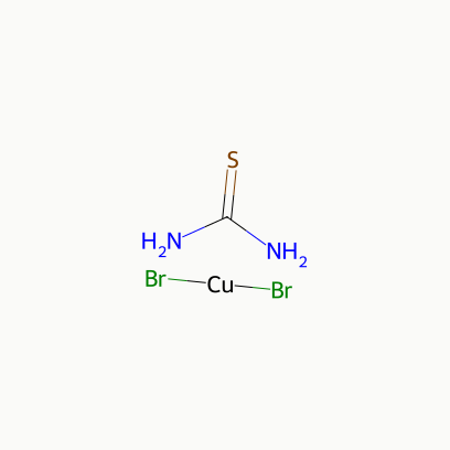 NC(N)=S.[Br][Cu][Br]